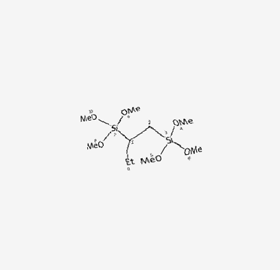 CCC(C[Si](OC)(OC)OC)[Si](OC)(OC)OC